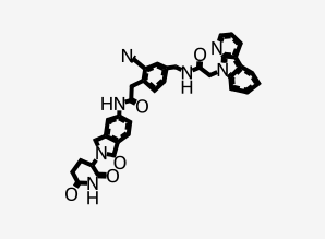 N#Cc1cc(CNC(=O)Cn2c3ccccc3c3cccnc32)ccc1CC(=O)Nc1ccc2c(c1)CN(C1CCC(=O)NC1=O)C2=O